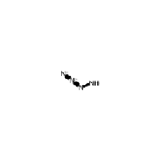 [N-]=[N+]=N[NH]